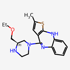 CCOC[C@H]1CN(C2=Nc3ccccc3Nc3sc(C)cc32)CCN1